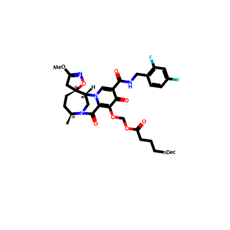 CCCCCCCCCCCCCC(=O)OCOc1c2n(cc(C(=O)NCc3ccc(F)cc3F)c1=O)[C@@H]1CN(C2=O)[C@@H](C)CC[C@]12CC(OC)=NO2